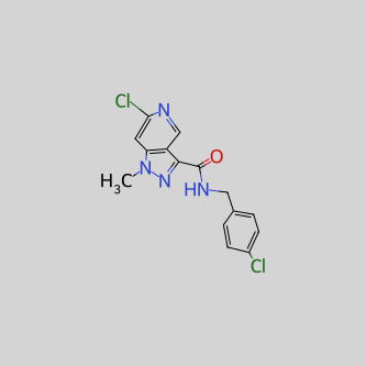 Cn1nc(C(=O)NCc2ccc(Cl)cc2)c2cnc(Cl)cc21